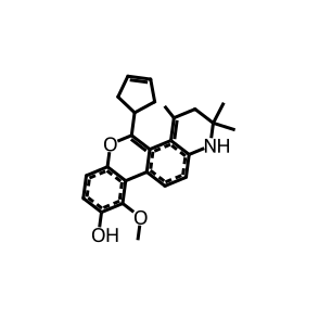 COc1c(O)ccc2c1-c1ccc3c(c1=C(C1CC=CC1)O2)=C(C)CC(C)(C)N3